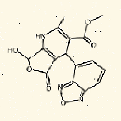 COC(=O)C1=C(C)NC2=C(C(=O)OC2O)C1c1cccc2nonc12